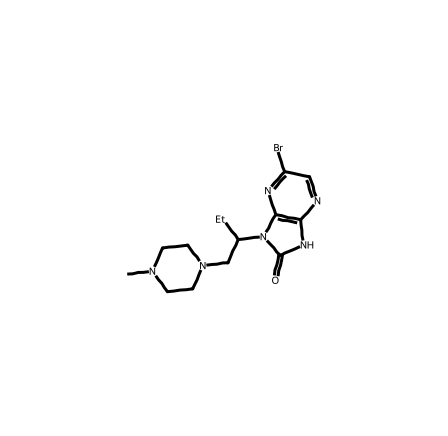 CCC(CN1CCN(C)CC1)n1c(=O)[nH]c2ncc(Br)nc21